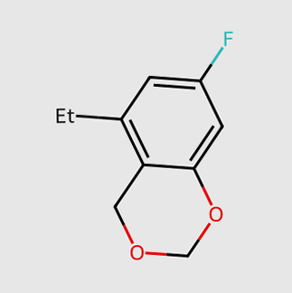 CCc1cc(F)cc2c1COCO2